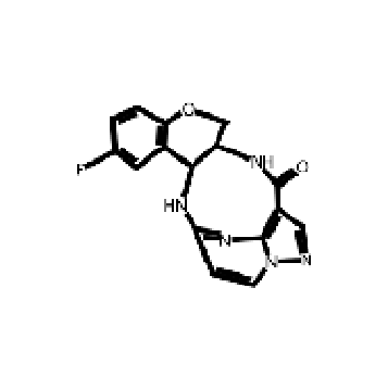 O=C1NC2COc3ccc(F)cc3C2Nc2ccn3ncc1c3n2